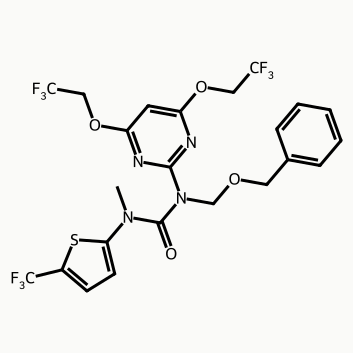 CN(C(=O)N(COCc1ccccc1)c1nc(OCC(F)(F)F)cc(OCC(F)(F)F)n1)c1ccc(C(F)(F)F)s1